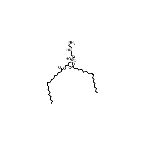 CCCCCCCC/C=C\CCCCCCCC(=O)OCC(COP(=O)(O)OCCNCCN)OC(=O)CCCCCCC/C=C\CCCCCCCC